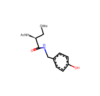 COC[C@H](NC(C)=O)C(=O)NCc1ccc(O)cc1